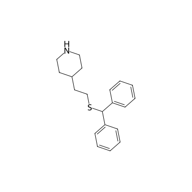 c1ccc(C(SCCC2CCNCC2)c2ccccc2)cc1